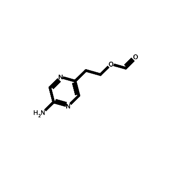 Nc1cnc(CCOC=O)cn1